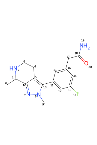 CC1NCCc2c1nn(C)c2-c1cc(F)cc(CC(N)=O)c1